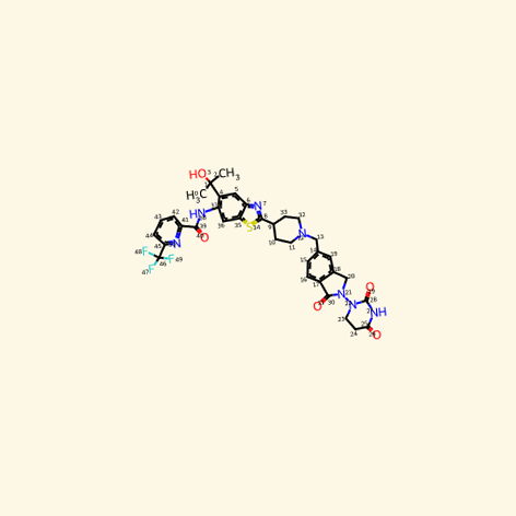 CC(C)(O)c1cc2nc(C3CCN(Cc4ccc5c(c4)CN(N4CCC(=O)NC4=O)C5=O)CC3)sc2cc1NC(=O)c1cccc(C(F)(F)F)n1